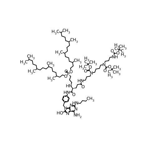 CCCCNc1nc(N)c2nc(O)n(Cc3ccc(NC(=O)[C@H](CCC(=O)NCCCN(CCCCN(CCCNC(=O)OC(C)(C)C)C(=O)OC(C)(C)C)C(=O)OC(C)(C)C)NCCCP(=O)(OCCC(C)CCCC(C)CCCC(C)CCCC(C)C)OCCC(C)CCCC(C)CCCC(C)CCCC(C)C)cc3)c2n1